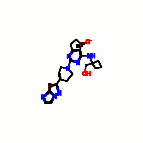 [O-][S@+]1CCc2nc(N3CC=C(c4nn5ccnc5s4)CC3)nc(NC3(CO)CCC3)c21